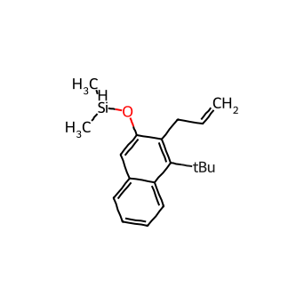 C=CCc1c(O[SiH](C)C)cc2ccccc2c1C(C)(C)C